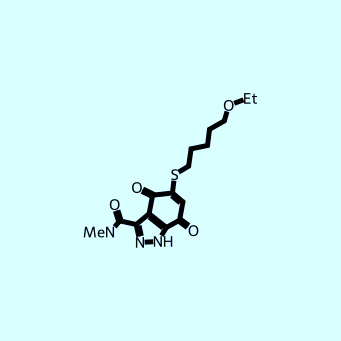 CCOCCCCCSC1=CC(=O)c2[nH]nc(C(=O)NC)c2C1=O